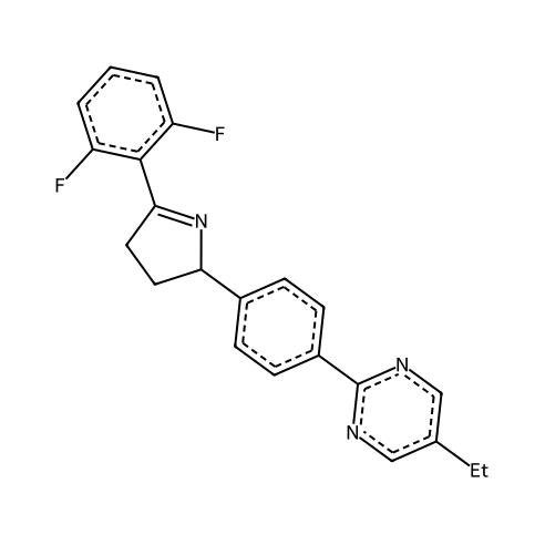 CCc1cnc(-c2ccc(C3CCC(c4c(F)cccc4F)=N3)cc2)nc1